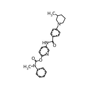 CC1CCCN(c2ccc(C(=O)Nc3ccc(OC(=O)N(C)c4ccccc4)nc3)cc2)C1